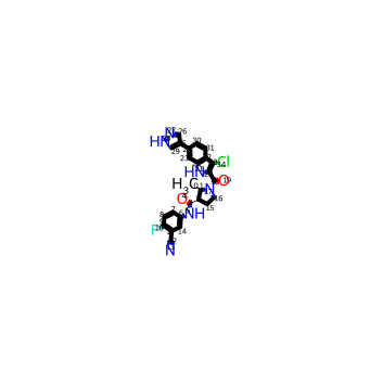 C[C@H]1[C@@H](C(=O)Nc2ccc(F)c(C#N)c2)CCN1C(=O)c1[nH]c2cc(-c3cn[nH]c3)ccc2c1Cl